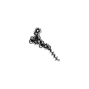 CCCCCCCCCCOc1ccc(C(=O)OC2CCc3c(ccc(C(=O)O)c3OC(=O)C3CCc4ccccc4C3)C2)cc1